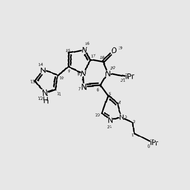 CC(C)CCn1cc(-c2nn3c(-c4c[nH]cn4)cnc3c(=O)n2C(C)C)cn1